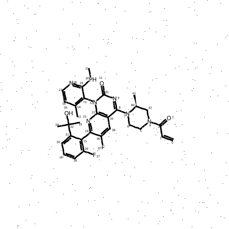 C=CC(=O)N1CCN(c2nc(=O)n(-c3c(C)ccnc3PC)c3nc(-c4c(F)cccc4C(C)(C)O)c(F)cc23)[C@@H](C)C1